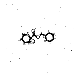 O=C(OCC1CCCCC1)C12CCCCC1O2